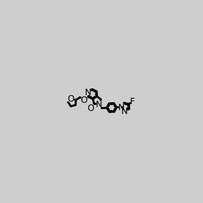 O=C1c2c(ccnc2OCC2CCCO2)CN1Cc1ccc(-n2cc(F)cn2)cc1